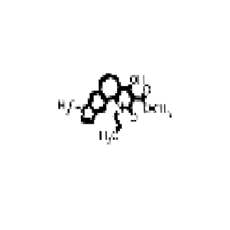 C=CCn1c2c(c(O)c(C(=O)OC)c1=O)CC=Cc1cc3c(ccn3C)cc1-2